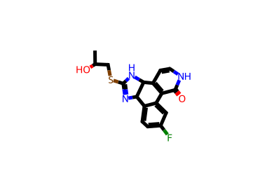 CC(O)CSC1=NC2c3ccc(F)cc3-c3c(cc[nH]c3=O)C2N1